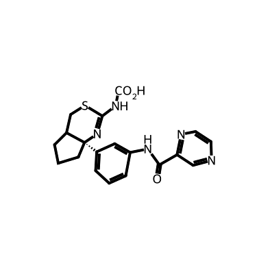 O=C(O)NC1=N[C@@]2(c3cccc(NC(=O)c4cnccn4)c3)CCCC2CS1